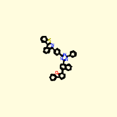 c1ccc(-c2nc(-c3ccc(-c4nc5sc6ccccc6c5c5ccccc45)cc3)nc(-c3ccc(-c4cccc5c4oc4ccccc45)c4ccccc34)n2)cc1